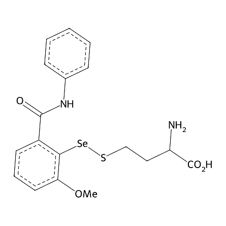 COc1cccc(C(=O)Nc2ccccc2)c1[Se]SCCC(N)C(=O)O